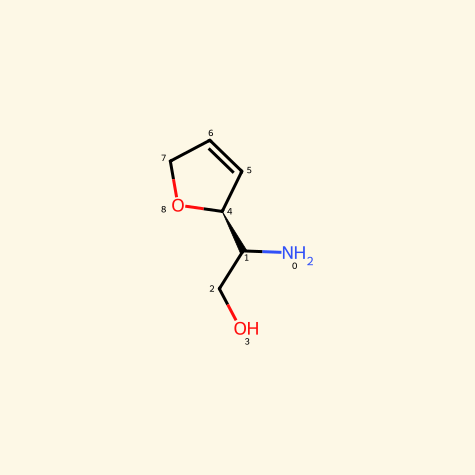 NC(CO)[C@@H]1C=CCO1